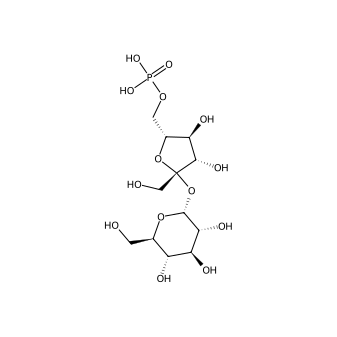 O=P(O)(O)OC[C@H]1O[C@@](CO)(O[C@H]2O[C@H](CO)[C@@H](O)[C@H](O)[C@H]2O)[C@@H](O)[C@@H]1O